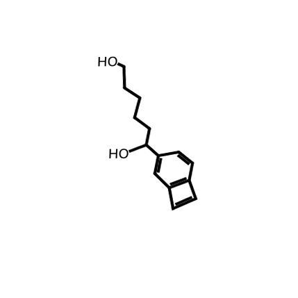 OCCCCCC(O)c1ccc2c(c1)C=C2